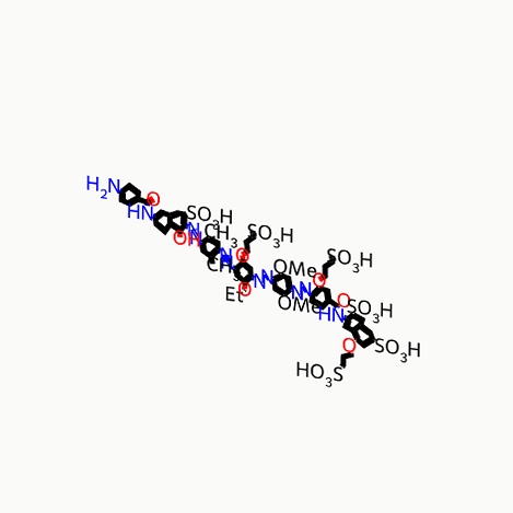 CCOc1cc(N=Nc2cc(C)c(N=Nc3c(S(=O)(=O)O)cc4cc(NC(=O)c5ccc(N)cc5)ccc4c3O)cc2C)c(OCCCS(=O)(=O)O)cc1N=Nc1cc(OC)c(N=Nc2ccc(C(=O)Nc3cc4c(OCCCS(=O)(=O)O)cc(S(=O)(=O)O)cc4cc3S(=O)(=O)O)cc2OCCCS(=O)(=O)O)cc1OC